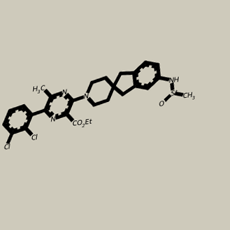 CCOC(=O)c1nc(-c2cccc(Cl)c2Cl)c(C)nc1N1CCC2(CC1)Cc1ccc(N[S+](C)[O-])cc1C2